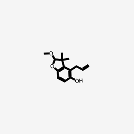 C=CCc1c(O)ccc2c1C(C)(C)C(OC)O2